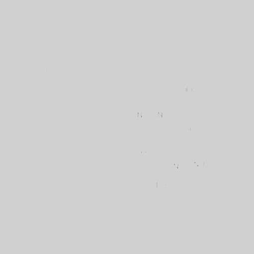 CC(C)c1cc(-c2ccc(C(F)(F)F)cc2)nn1C(=O)C(=O)N(C)N